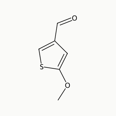 COc1cc(C=O)cs1